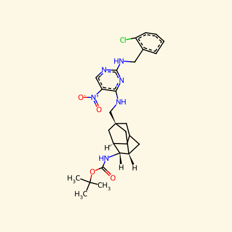 CC(C)(C)OC(=O)N[C@@H]1[C@@H]2CC3C[C@H]1C[C@@](CNc1nc(NCc4ccccc4Cl)ncc1[N+](=O)[O-])(C3)C2